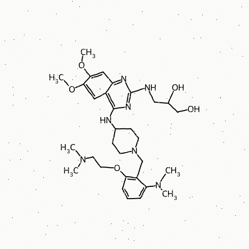 COc1cc2nc(NCC(O)CO)nc(NC3CCN(Cc4c(OCCN(C)C)cccc4N(C)C)CC3)c2cc1OC